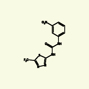 O=C(Nc1cccc([N+](=O)[O-])c1)Nc1nnc(C(F)(F)F)s1